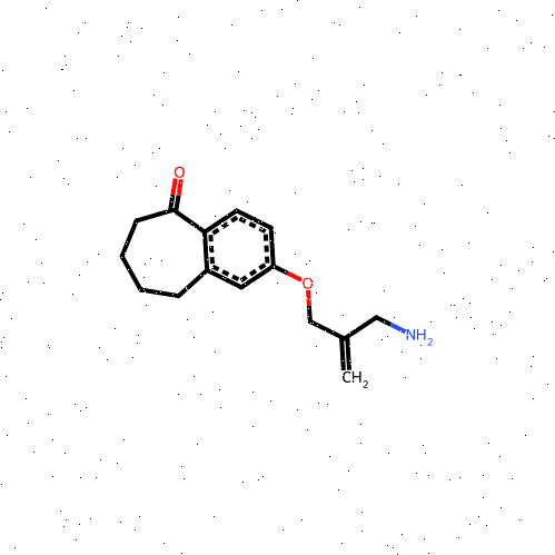 C=C(CN)COc1ccc2c(c1)CCCCC2=O